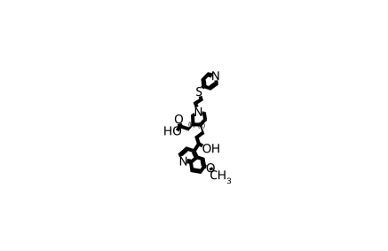 COc1ccc2nccc(C(O)CC[C@@H]3CCN(CCSc4ccncc4)C[C@@H]3CC(=O)O)c2c1